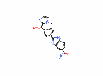 Cn1ccnc1C(O)c1ccc(-c2nc3cc(C(N)=O)ccc3[nH]2)cc1